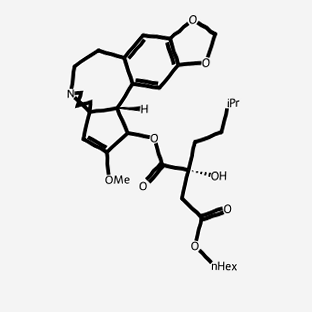 CCCCCCOC(=O)C[C@](O)(CCC(C)C)C(=O)OC1C(OC)=CC23CCCN2CCc2cc4c(cc2[C@H]13)OCO4